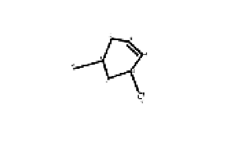 CC1CC=CC(Cl)C1